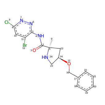 C[C@]1(C(=O)Nc2nnc(Cl)cc2Br)C[C@@H](OCc2ccccc2)CN1